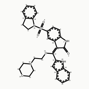 O=C1Nc2ccc(S(=O)(=O)N3CCc4ccccc43)cc2C1=C(OCCN1CCOCC1)c1cc2ccccc2[nH]1